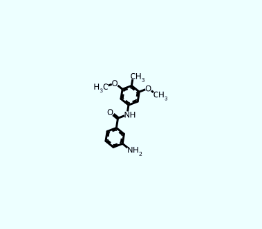 COc1cc(NC(=O)c2cccc(N)c2)cc(OC)c1C